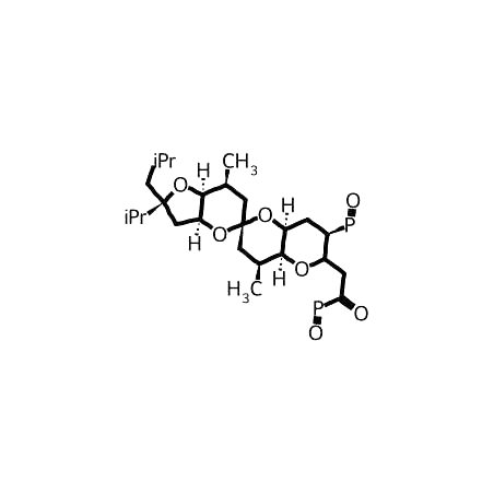 CC(C)C[C@@]1(C(C)C)C[C@@H]2O[C@]3(C[C@H](C)[C@@H]4OC(CC(=O)P=O)[C@H](P=O)C[C@@H]4O3)C[C@H](C)[C@@H]2O1